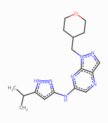 CC(C)c1cc(Nc2cnc3cnn(CC4CCOCC4)c3n2)n[nH]1